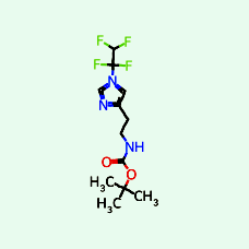 CC(C)(C)OC(=O)NCCc1cn(C(F)(F)C(F)F)cn1